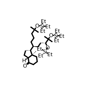 CC[Si](CC)(CC)O[C@H](CC[C@H](CCCC(C)(C)O[Si](CC)(CC)CC)[C@H]1CC[C@H]2C(=O)CCC[C@]12C)C(C)(C)O[Si](CC)(CC)CC